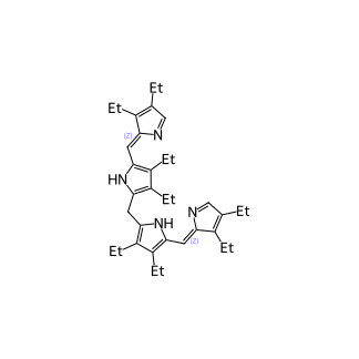 CCC1=C(CC)/C(=C/c2[nH]c(Cc3[nH]c(/C=C4\N=CC(CC)=C4CC)c(CC)c3CC)c(CC)c2CC)N=C1